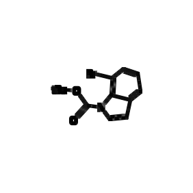 CC(C)(C)OC(=O)n1ccc2cccc(Br)c21